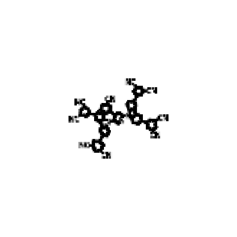 N#Cc1cc(C#N)cc(-c2ccc3c(c2)c2cc(-c4cc(C#N)cc(C#N)c4)ccc2n3-c2cc(-c3cccc(C#N)c3)c(-n3c4ccc(-c5cc(C#N)cc(C#N)c5)cc4c4cc(-c5cc(C#N)cc(C#N)c5)ccc43)cn2)c1